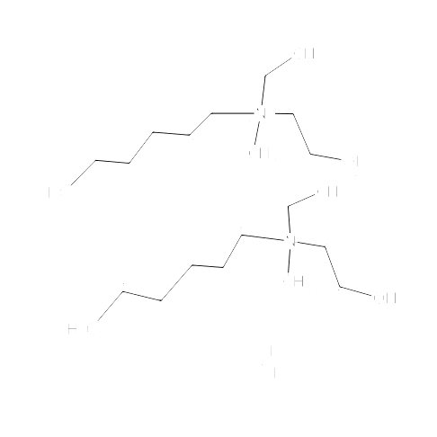 CCCCCC[N+](C)(CC)CCO.CCCCCC[N+](C)(CC)CCO.[I-].[I-]